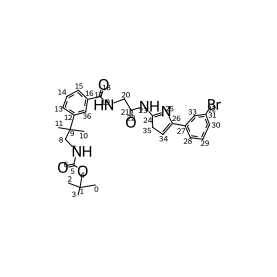 CC(C)(C)OC(=O)NCC(C)(C)c1cccc(C(=O)NCC(=O)NC2=NC(c3cccc(Br)c3)=CC2)c1